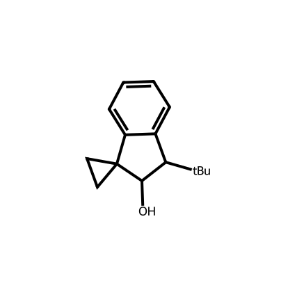 CC(C)(C)C1c2ccccc2C2(CC2)C1O